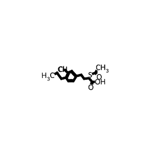 CC(=O)SC(CCc1ccc(CC(C)C)c(Cl)c1)C(=O)O